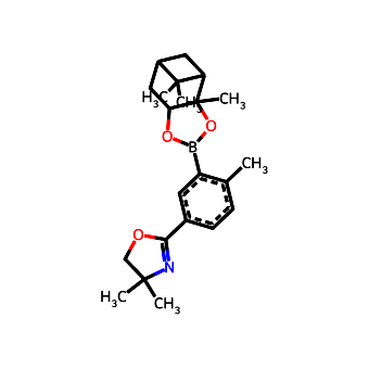 Cc1ccc(C2=NC(C)(C)CO2)cc1B1OC2CC3CC(C3(C)C)C2(C)O1